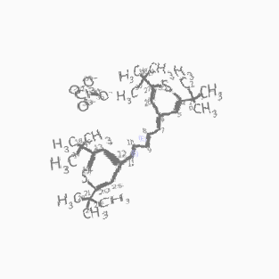 CC(C)(C)C1=CC(=C/C=C/C=C/c2cc(C(C)(C)C)[s+]c(C(C)(C)C)c2)C=C(C(C)(C)C)S1.[O-][Cl+3]([O-])([O-])[O-]